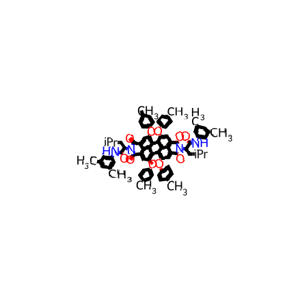 Cc1ccc(Oc2cc3c4c(cc(Oc5ccc(C)cc5)c5c6c(Oc7ccc(C)cc7)cc7c8c(cc(Oc9ccc(C)cc9)c(c2c45)c86)C(=O)N(C(CC(C)C)C(=O)Nc2cc(C)cc(C)c2)C7=O)C(=O)N(C(CC(C)C)C(=O)Nc2cc(C)cc(C)c2)C3=O)cc1